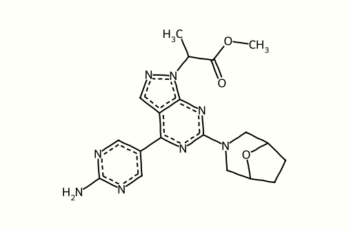 COC(=O)C(C)n1ncc2c(-c3cnc(N)nc3)nc(N3CC4CCC(C3)O4)nc21